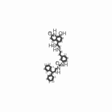 O=C(NCCC(c1ccccc1)c1ccccc1)Nc1cccc(CCNC[C@H](O)c2ccc(O)c3[nH]c(=O)ccc23)c1